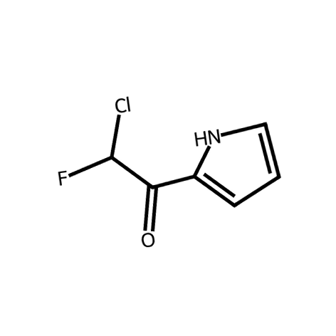 O=C(c1ccc[nH]1)C(F)Cl